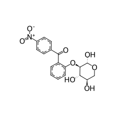 O=C(c1ccc([N+](=O)[O-])cc1)c1ccccc1O[C@@H]1[C@@H](O)[C@H](O)CO[C@H]1O